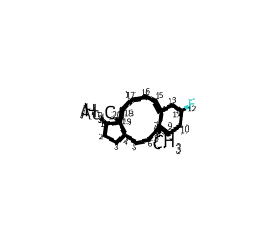 CC(=O)C1CCC2CCC3(C)CCC(F)C/C3=C/CCCC21C